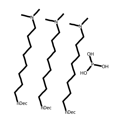 CCCCCCCCCCCCCCCCCCN(C)C.CCCCCCCCCCCCCCCCCCN(C)C.CCCCCCCCCCCCCCCCCCN(C)C.OP(O)O